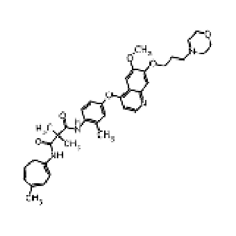 COc1cc2c(Oc3ccc(NC(=O)C(C)(C)C(=O)NC4=CC=C(C)C=CC4)c(C)c3)ccnc2cc1OCCCN1CCOCC1